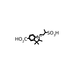 CC1=[N+](CCC(C)S(=O)(=O)O)c2ccc(C(=O)O)cc2C1(C)C